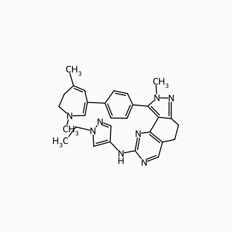 CCn1cc(Nc2ncc3c(n2)-c2c(nn(C)c2-c2ccc(C4=CN(C)CCC(C)=C4)cc2)CC3)cn1